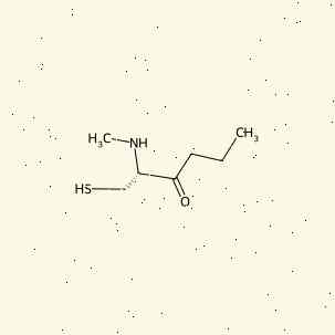 CCCC(=O)[C@H](CS)NC